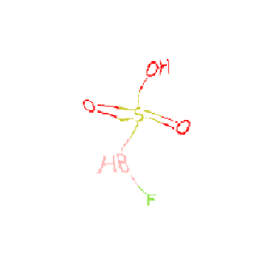 O=S(=O)(O)BF